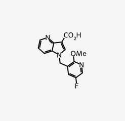 COc1ncc(F)cc1Cn1cc(C(=O)O)c2ncccc21